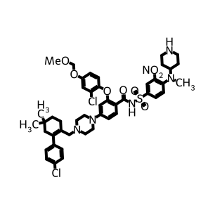 COCOc1ccc(Oc2cc(N3CCN(CC4=C(c5ccc(Cl)cc5)CC(C)(C)CC4)CC3)ccc2C(=O)NS(=O)(=O)c2ccc(N(C)C3CCNCC3)c([N+](=O)[O-])c2)c(Cl)c1